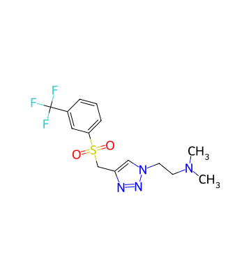 CN(C)CCn1cc(CS(=O)(=O)c2cccc(C(F)(F)F)c2)nn1